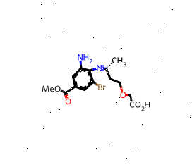 COC(=O)c1cc(N)c(N[C@H](C)CCOCC(=O)O)c(Br)c1